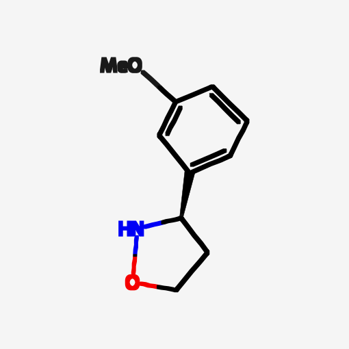 COc1cccc([C@H]2CCON2)c1